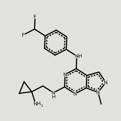 Cn1ncc2c(Nc3ccc(C(F)F)cc3)nc(NCC3(N)CC3)nc21